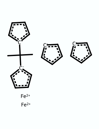 CC(C)([c-]1cccc1)[c-]1cccc1.[Fe+2].[Fe+2].c1cc[cH-]c1.c1cc[cH-]c1